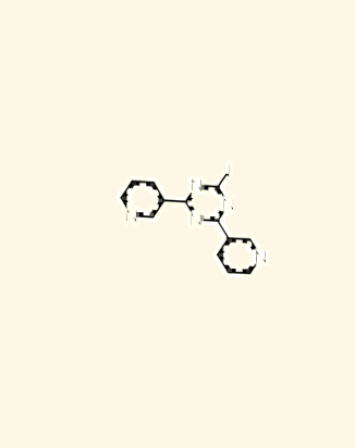 Ic1nc(-c2cccnc2)nc(-c2cccnc2)n1